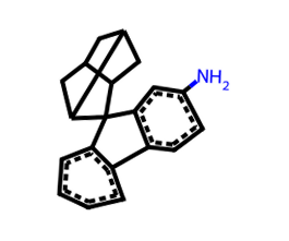 Nc1ccc2c(c1)C1(c3ccccc3-2)C2CC3CC2CC31